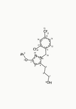 CC(C)Oc1cc(CCCO)n(Cc2ccc(C(F)(F)F)cc2Cl)n1